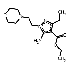 CCOC(=O)c1c(CC)nn(CCN2CCOCC2)c1N